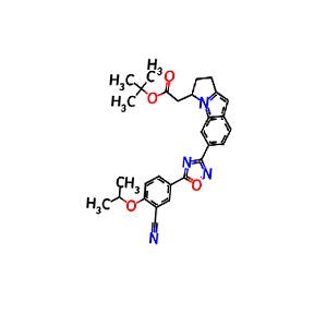 CC(C)Oc1ccc(-c2nc(-c3ccc4cc5n(c4c3)C(CC(=O)OC(C)(C)C)CC5)no2)cc1C#N